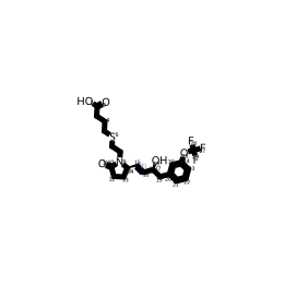 O=C(O)CCCSCCN1C(=O)CC[C@@H]1/C=C/[C@@H](O)Cc1cccc(OC(F)(F)F)c1